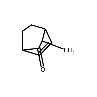 CC1C(=O)C2C=CC1CC2